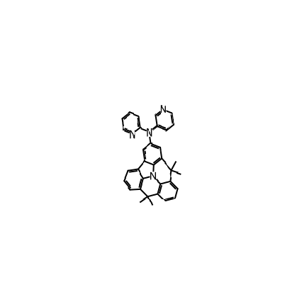 CC1(C)c2cccc3c2-n2c4c1cccc4c1cc(N(c4cccnc4)c4ccccn4)cc(c12)C3(C)C